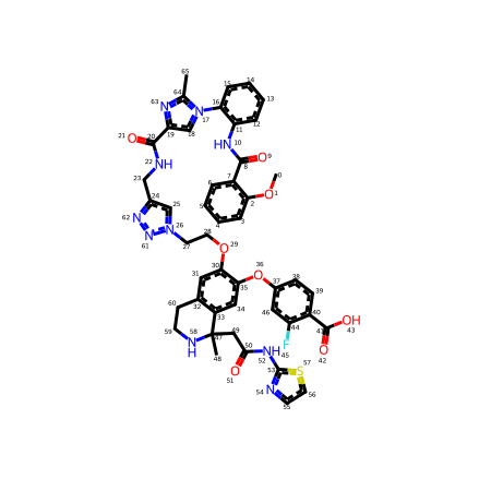 COc1ccccc1C(=O)Nc1ccccc1-n1cc(C(=O)NCc2cn(CCOc3cc4c(cc3Oc3ccc(C(=O)O)c(F)c3)C(C)(CC(=O)Nc3nccs3)NCC4)nn2)nc1C